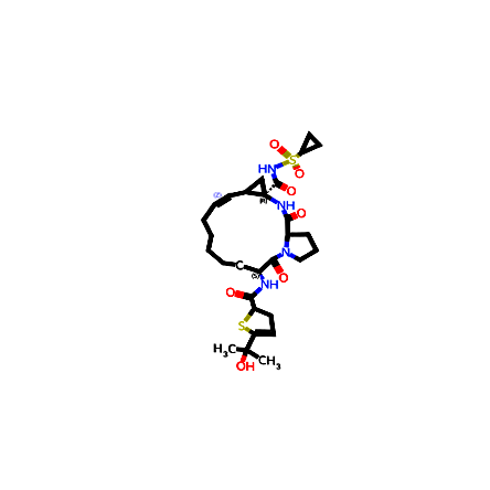 CC(C)(O)C1=CCC(C(=O)N[C@H]2CCCCC/C=C\C3C[C@@]3(C(=O)NS(=O)(=O)C3CC3)NC(=O)C3CCCN3C2=O)S1